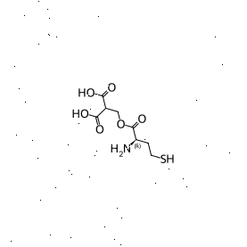 N[C@H](CCS)C(=O)OCC(C(=O)O)C(=O)O